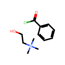 C[N+](C)(C)CCO.O=C(Cl)c1ccccc1